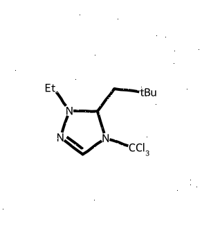 CCN1N=CN(C(Cl)(Cl)Cl)C1CC(C)(C)C